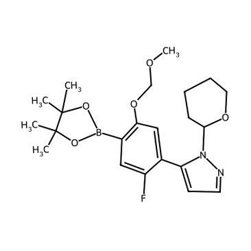 COCOc1cc(-c2ccnn2C2CCCCO2)c(F)cc1B1OC(C)(C)C(C)(C)O1